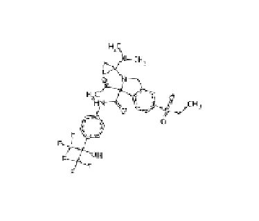 CCS(=O)(=O)c1ccc2c(c1)CN(C1(N(C)C)CC1)C2(C(C)=O)C(=O)Nc1ccc(C(O)(C(F)(F)F)C(F)(F)F)cc1